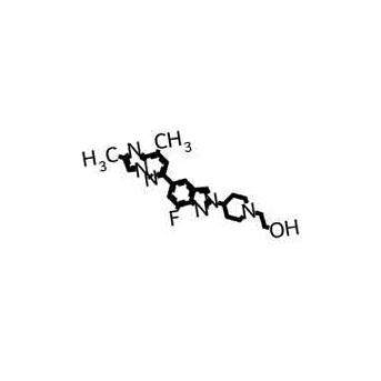 Cc1cn2nc(-c3cc(F)c4nn(C5CCN(CCO)CC5)cc4c3)cc(C)c2n1